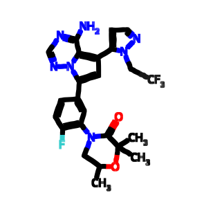 CC1CN(c2cc(-c3cc(-c4ccnn4CC(F)(F)F)c4c(N)ncnn34)ccc2F)C(=O)C(C)(C)O1